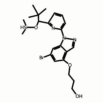 C[SiH](C)OC(c1cccc(-n2ncc3c(OCCCO)cc(Br)cc32)n1)C(C)(C)C